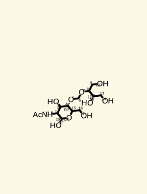 CC(=O)NC1C(O)[C@H](OCOC(CO)[C@H](O)CO)C(CO)O[C@H]1O